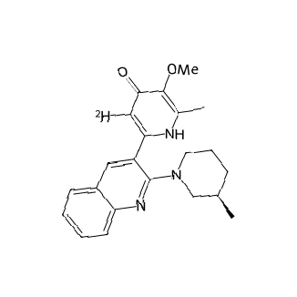 [2H]c1c(-c2cc3ccccc3nc2N2CCC[C@@H](C)C2)[nH]c(C)c(OC)c1=O